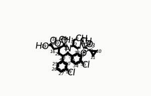 CCC(CN(C)S(=O)(=O)C1CC1)N1C(=O)C(CC(=O)O)(OC)CC(c2cccc(Cl)c2)C1c1ccc(Cl)cc1